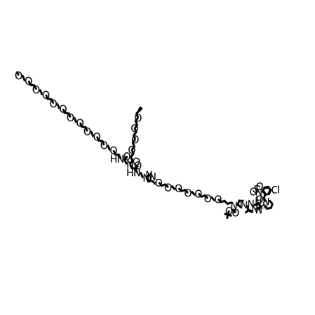 C#CCOCCOCCOCCOCCC(=O)N(CC(=O)NCCOCCOCCOCCOCCOCCOCCOCCOCCOCCOCCOCCOC)CC(=O)NCCn1cc(COCCOCCOCCOCCOCCOCCOCCCCN(C(=O)OC(C)(C)C)[C@H]2CCN(c3nc4cc([C@@H]5CCCCN5C(=O)c5cc(Cl)ccc5NS(C)(=O)=O)nn4cc3C)C2)nn1